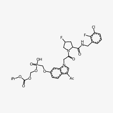 CC(=O)c1cn(CC(=O)N2CC(F)CC2C(=O)NCc2cccc(Cl)c2F)c2cc(OCP(=O)(O)OCOC(=O)OC(C)C)ccc12